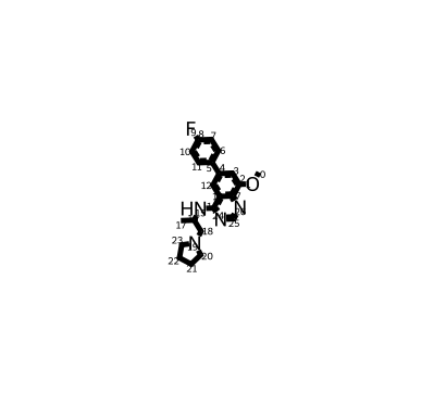 COc1cc(-c2ccc(F)cc2)cc2c(NC(C)CN3CCCC3)ncnc12